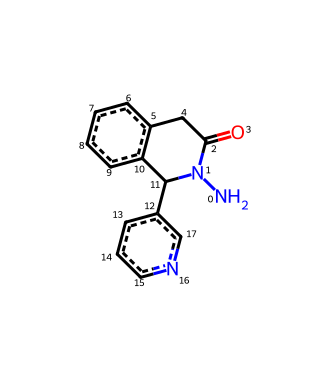 NN1C(=O)Cc2ccccc2C1c1cccnc1